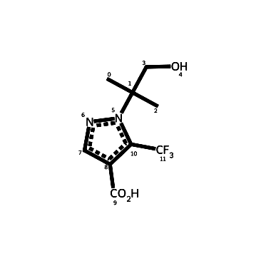 CC(C)(CO)n1ncc(C(=O)O)c1C(F)(F)F